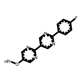 CCCOc1cnc(-c2cnc(-c3ccc(F)cc3)nc2)nc1